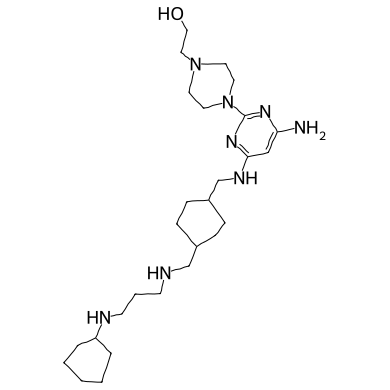 Nc1cc(NCC2CCC(CNCCCNC3CCCCC3)CC2)nc(N2CCN(CCO)CC2)n1